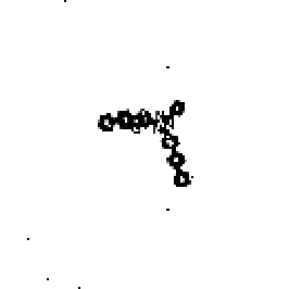 c1ccc(-c2ccc(-c3ccc(-c4nc(-c5ccccc5)nc(-c5ccc6c(c5)oc5cc(-c7ccccc7)ccc56)n4)cc3)cc2)cc1